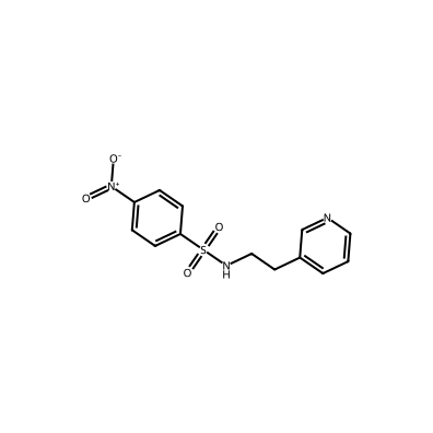 O=[N+]([O-])c1ccc(S(=O)(=O)NCCc2cccnc2)cc1